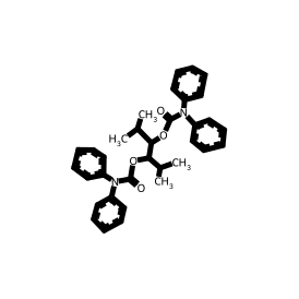 CC(C)C(OC(=O)N(c1ccccc1)c1ccccc1)C(OC(=O)N(c1ccccc1)c1ccccc1)C(C)C